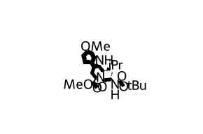 COC(=O)[C@H]1Cc2c([nH]c3cc(OC)ccc23)[C@H](CC(C)C)N1C(=O)[C@H](C)NC(=O)OC(C)(C)C